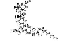 CCCCCCCN1CCN(C(=O)Oc2ccc(CN(CC(=O)O)C(=O)c3ccc(NC(=O)Cc4ccc(OC)cc4C(F)(F)F)cc3)cc2)CC1